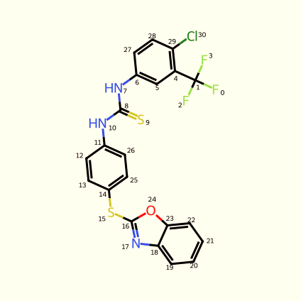 FC(F)(F)c1cc(NC(=S)Nc2ccc(Sc3nc4ccccc4o3)cc2)ccc1Cl